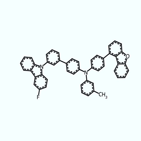 Cc1cccc(N(c2ccc(-c3cccc(-n4c5ccccc5c5cc(F)ccc54)c3)cc2)c2ccc(-c3cccc4oc5ccccc5c34)cc2)c1